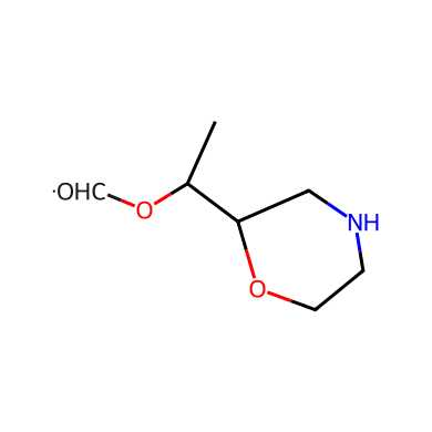 CC(O[C]=O)C1CNCCO1